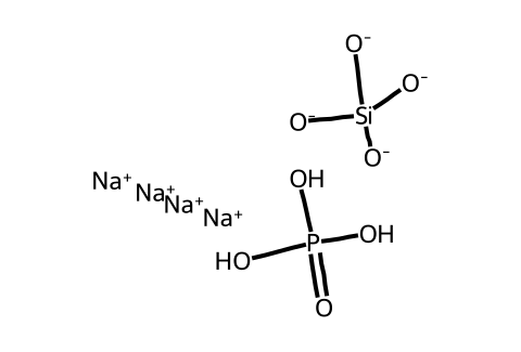 O=P(O)(O)O.[Na+].[Na+].[Na+].[Na+].[O-][Si]([O-])([O-])[O-]